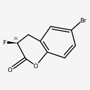 O=C1Oc2ccc(Br)cc2C[C@@H]1F